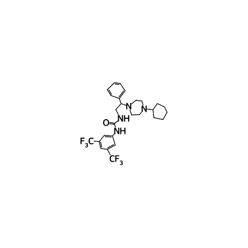 O=C(NCC(c1ccccc1)N1CCN(C2CCCCC2)CC1)Nc1cc(C(F)(F)F)cc(C(F)(F)F)c1